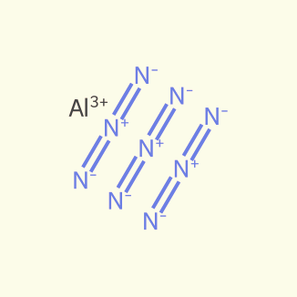 [Al+3].[N-]=[N+]=[N-].[N-]=[N+]=[N-].[N-]=[N+]=[N-]